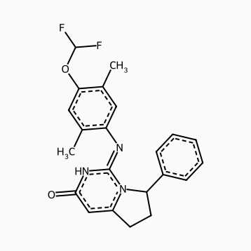 Cc1cc(OC(F)F)c(C)cc1/N=c1\[nH]c(=O)cc2n1C(c1ccccc1)CC2